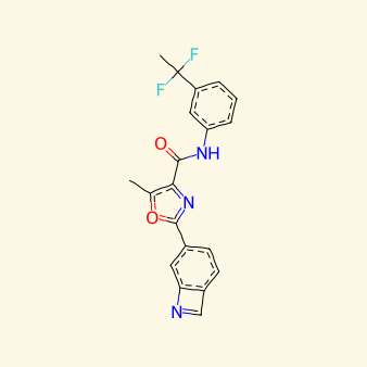 Cc1oc(-c2ccc3c(c2)N=C3)nc1C(=O)Nc1cccc(C(C)(F)F)c1